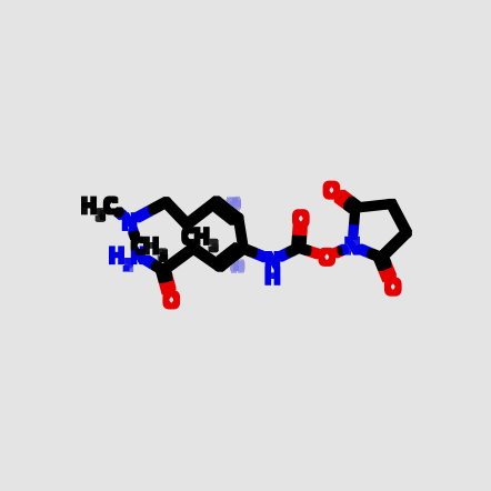 CC(/C=C(\C=C/CCN(C)C)NC(=O)ON1C(=O)CCC1=O)C(N)=O